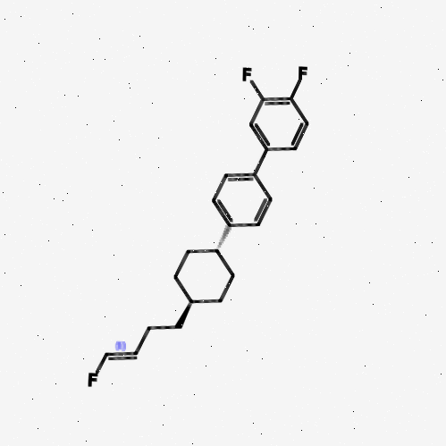 F/C=C/CC[C@H]1CC[C@H](c2ccc(-c3ccc(F)c(F)c3)cc2)CC1